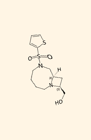 O=S(=O)(c1cccs1)N1CCCCN2[C@H](CO)C[C@@H]2C1